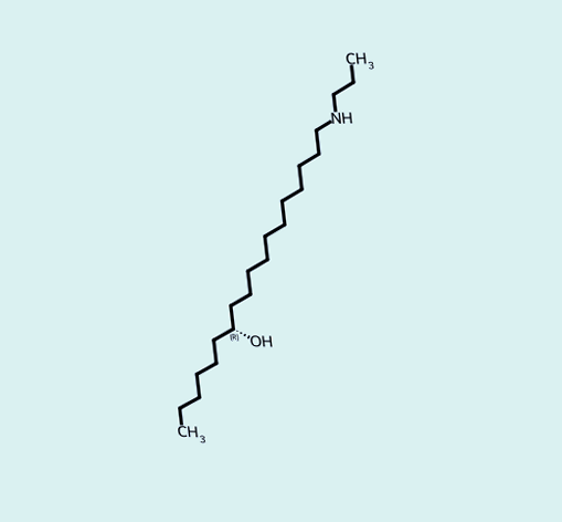 CCCCCC[C@@H](O)CCCCCCCCCCCNCCC